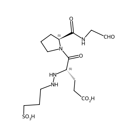 O=CCNC(=O)[C@@H]1CCCN1C(=O)[C@H](CCC(=O)O)NNCCCS(=O)(=O)O